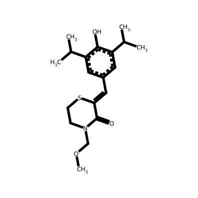 COCN1CCSC(=Cc2cc(C(C)C)c(O)c(C(C)C)c2)C1=O